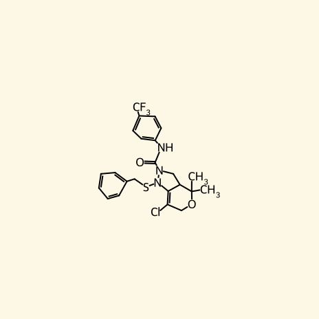 CC1(C)OCC(Cl)=C2C1CN(C(=O)Nc1ccc(C(F)(F)F)cc1)N2SCc1ccccc1